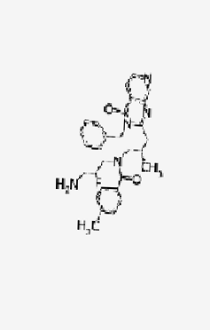 Cc1ccc(C(=O)N(C[C@H](C)Cc2nc3cnccc3c(=O)n2Cc2ccccc2)C[C@@H](F)CN)cc1